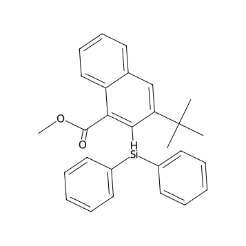 COC(=O)c1c([SiH](c2ccccc2)c2ccccc2)c(C(C)(C)C)cc2ccccc12